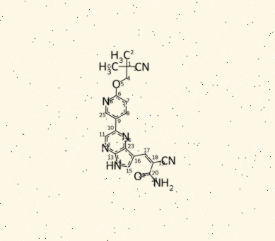 CC(C)(C#N)COc1ccc(-c2cnc3[nH]cc(C=C(C#N)C(N)=O)c3n2)cn1